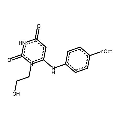 CCCCCCCCc1ccc(Nc2cc(=O)[nH]c(=O)n2CCO)cc1